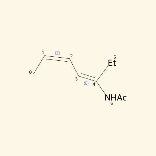 C/C=C\C=C(/CC)NC(C)=O